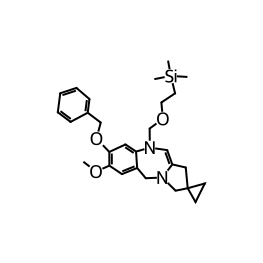 COc1cc2c(cc1OCc1ccccc1)N(COCC[Si](C)(C)C)C=C1CC3(CC3)CN1C2